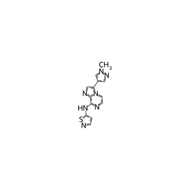 Cn1cc(-c2cnc3c(Nc4ccns4)nccn23)cn1